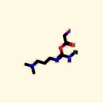 CCN/C(=N/CCCN(C)C)OC(=O)CI